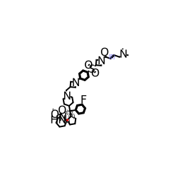 COC(=O)N[C@H]1CCC[C@@H]1[C@](CN1CCCCC1)(c1cccc(F)c1)C1CCN(CC2CN(c3ccc(S(=O)(=O)C4CN(C(=O)/C=C/CN(C)C)C4)cc3)C2)CC1